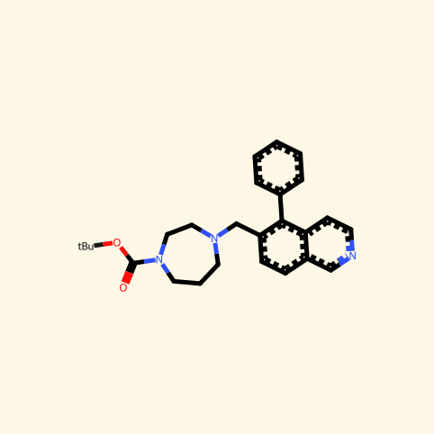 CC(C)(C)OC(=O)N1CCCN(Cc2ccc3cnccc3c2-c2ccccc2)CC1